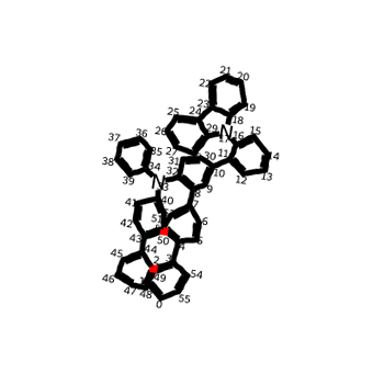 c1ccc(-c2ccc(-c3cc(-c4ccccc4-n4c5ccccc5c5ccccc54)ccc3N(c3ccccc3)c3ccc(-c4ccccc4)cc3)cc2)cc1